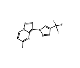 Cc1ccn2ncc(-n3cc(C(F)(F)F)cn3)c2n1